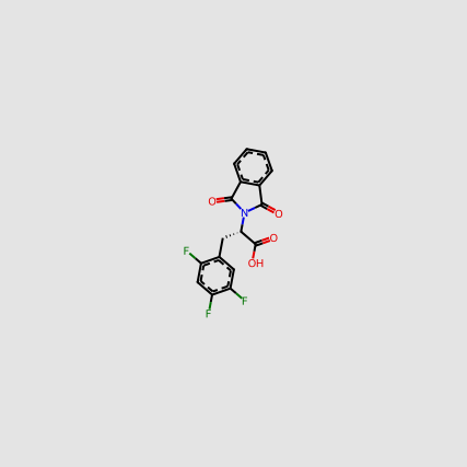 O=C(O)[C@H](Cc1cc(F)c(F)cc1F)N1C(=O)c2ccccc2C1=O